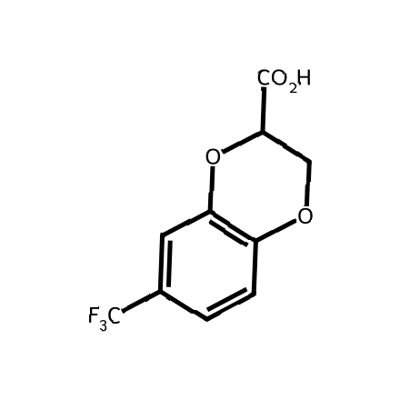 O=C(O)C1COc2ccc(C(F)(F)F)cc2O1